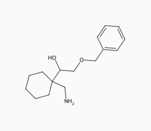 NCC1(C(O)COCc2ccccc2)CCCCC1